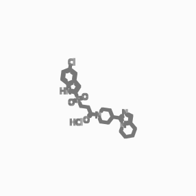 Cl.O=C(CCS(=O)(=O)c1cc2cc(Cl)ccc2[nH]1)N1CCC(c2ncc3n2CCCC3)CC1